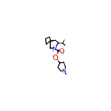 CC(C)C1CC2(CCC2)CN1C(=O)OC1CCN(C)CC1